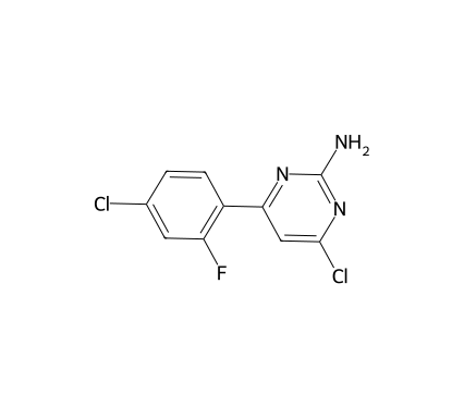 Nc1nc(Cl)cc(-c2ccc(Cl)cc2F)n1